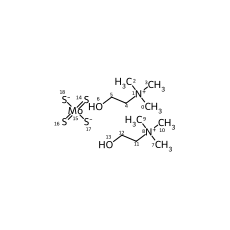 C[N+](C)(C)CCO.C[N+](C)(C)CCO.[S]=[Mo](=[S])([S-])[S-]